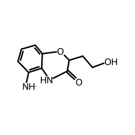 [NH]c1cccc2c1NC(=O)C(CCO)O2